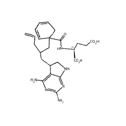 C=CCC(CC1CNc2nc(N)nc(N)c21)CC1(C(=O)N[C@@H](CCC(=O)O)C(=O)O)C=CC=CC1